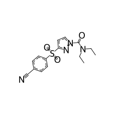 CCN(CC)C(=O)n1ccc(S(=O)(=O)c2ccc(C#N)cc2)n1